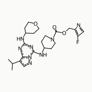 CC(C)c1cnn2c(NC3CCN(C(=O)OCC4=C(F)C=N4)CC3)nc(NC3CCOCC3)nc12